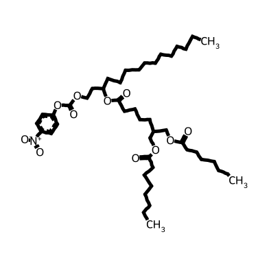 CCCCCCCCCCCCC(CCOC(=O)Oc1ccc([N+](=O)[O-])cc1)OC(=O)CCCCC(COC(=O)CCCCCCC)COC(=O)CCCCCCC